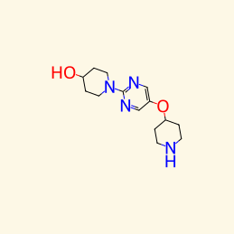 OC1CCN(c2ncc(OC3CCNCC3)cn2)CC1